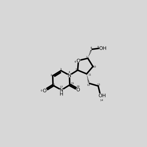 O=c1ccn(C2O[C@H](CO)C[C@@H]2CCO)c(=O)[nH]1